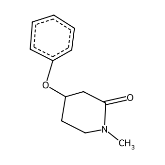 CN1CCC(Oc2ccccc2)CC1=O